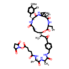 CCc1cc(C[C@H]2NC(=O)/C=C/C[C@@H](C(C)C3OC3c3ccc(CNC(=O)C(C)NC(=O)[C@@H](NC(=O)CCCC(=O)ON4C(=O)CCC4=O)C(C)C)cc3)OC(=O)C(CC(C)C)NC(=O)C(C)(C)C3(CC3)NC2=O)ccc1OC